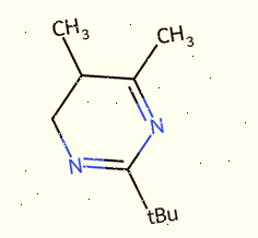 CC1=NC(C(C)(C)C)=NCC1C